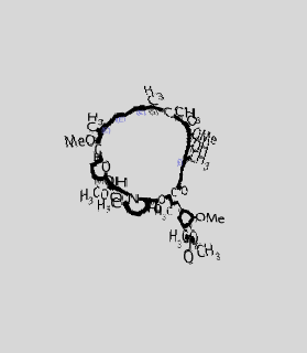 CO[C@H]1C[C@@H]2CC[C@@H](C)[C@@](O)(O2)C(=O)C(=O)N2C(C)CCC[C@H]2C(=O)O[C@H]([C@H](C)C[C@@H]2CC[C@@H](OP(C)(C)=O)[C@H](OC)C2)CC(=O)C/C=C(\C)[C@@H](O)[C@@H](OC)C(=O)[C@H](C)C[C@H](C)/C=C/C=C/C=C/1C